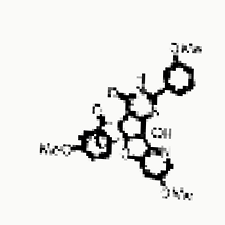 COc1ccc([C@@]23Oc4cc(OC)cnc4[C@]2(O)c2nc(-c4cccc(OC)c4)[nH]c(=O)c2[C@H]3C(=O)N(C)C)cc1